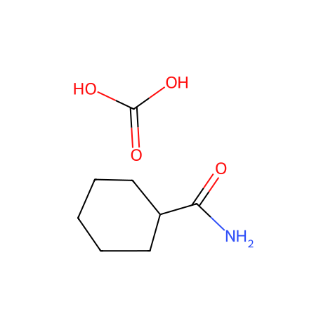 NC(=O)C1CCCCC1.O=C(O)O